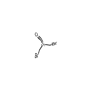 [O]=[Zn]([Br])[Br]